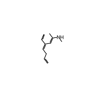 C=CC/C=C(C=C)\C=C(/C)NC